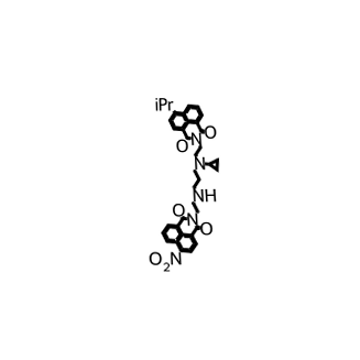 CC(C)c1ccc2c3c(cccc13)C(=O)N(CCN(CCCNCCN1C(=O)c3cccc4c([N+](=O)[O-])ccc(c34)C1=O)C1CC1)C2=O